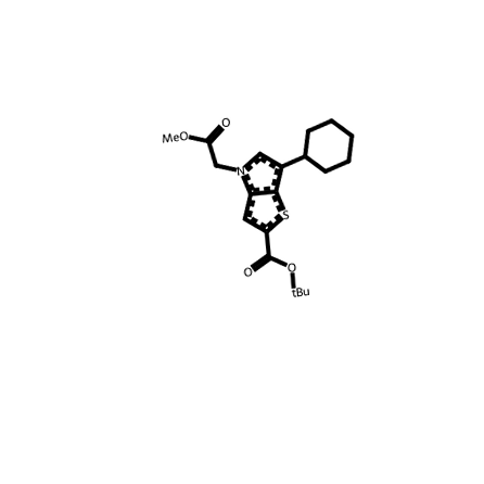 COC(=O)Cn1cc(C2CCCCC2)c2sc(C(=O)OC(C)(C)C)cc21